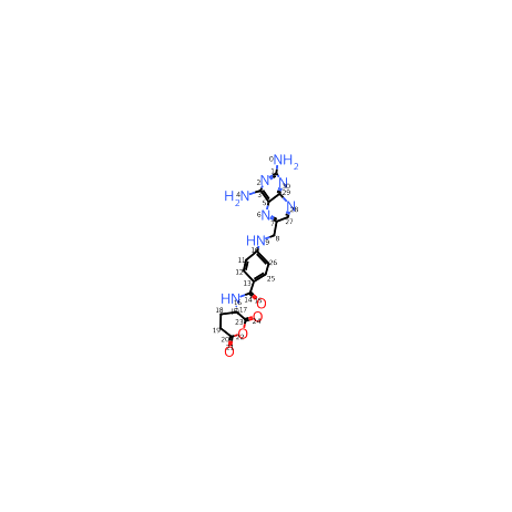 Nc1nc(N)c2nc(CNc3ccc(C(=O)N[C@H]4CCC(=O)OC4=O)cc3)cnc2n1